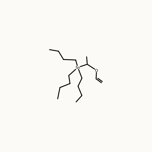 C=CO[CH](C)[Sn]([CH2]CCC)([CH2]CCC)[CH2]CCC